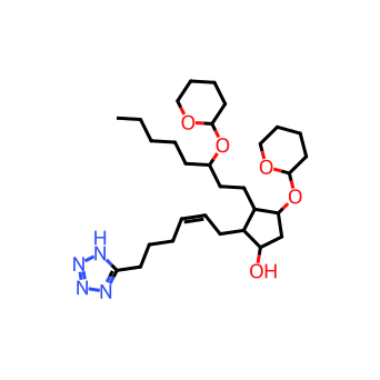 CCCCCC(CCC1C(OC2CCCCO2)CC(O)C1C/C=C\CCCc1nnn[nH]1)OC1CCCCO1